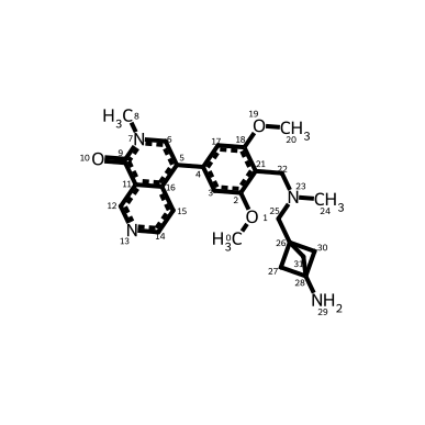 COc1cc(-c2cn(C)c(=O)c3cnccc23)cc(OC)c1CN(C)CC12CC(N)(C1)C2